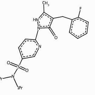 Cc1[nH]n(-c2ccc(S(=O)(=O)N(C(C)C)C(C)C)cn2)c(=O)c1Cc1ccccc1F